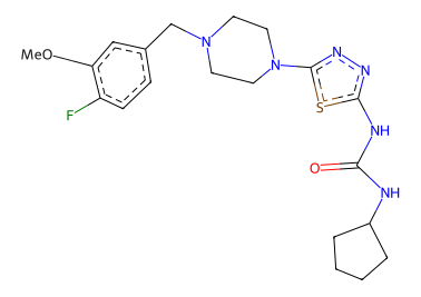 COc1cc(CN2CCN(c3nnc(NC(=O)NC4CCCC4)s3)CC2)ccc1F